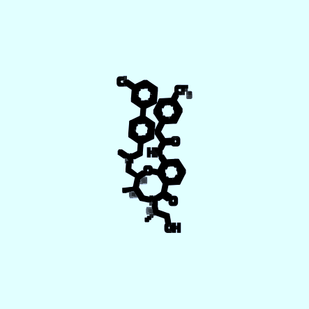 C[C@@H]1CN([C@@H](C)CO)C(=O)c2cccc(NC(=O)Cc3ccc(C(F)(F)F)cc3)c2O[C@@H]1CN(C)Cc1ccc(-c2cccc(Cl)c2)cc1